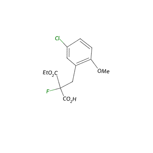 CCOC(=O)C(F)(Cc1cc(Cl)ccc1OC)C(=O)O